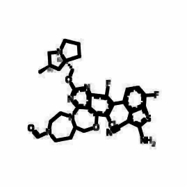 C[C@H]1CN2CCC[C@@]2(COc2nc3c4c(c(Cl)c(-c5ccc(F)c6sc(N)c(C#N)c56)c(F)c4n2)OCC2CCN(C=O)CCN32)C1